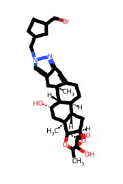 CC1O[C@@H]2C[C@H]3[C@@H]4CCC5=Cc6nn(CC7CCC(CBr)C7)cc6C[C@]5(C)[C@H]4[C@@H](O)C[C@]3(C)[C@]2(C(=O)CO)O1